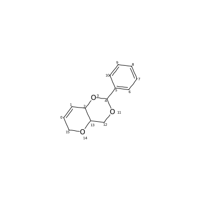 C1=CC2OC(c3ccccc3)OCC2OC1